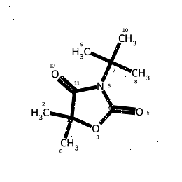 CC1(C)OC(=O)N(C(C)(C)C)C1=O